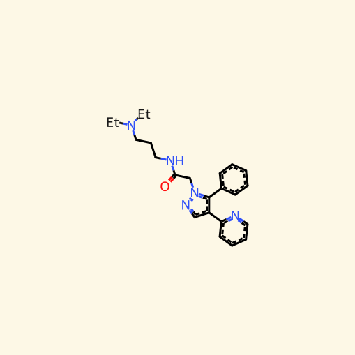 CCN(CC)CCCNC(=O)Cn1ncc(-c2ccccn2)c1-c1ccccc1